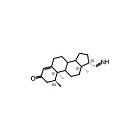 C[C@H]1CC(=O)C=C2CCC3C4CC[C@H](C=N)[C@@]4(C)CCC3[C@]21C